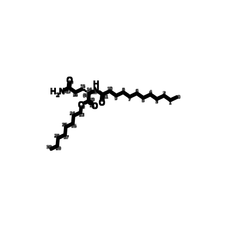 CCCCCCCCCCCC(=O)N[C@@H](CCC(N)=O)C(=O)OCCCCCCCC